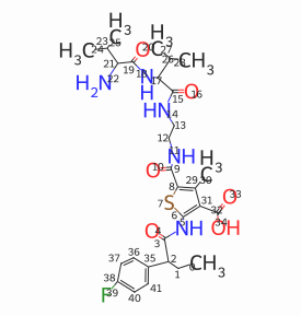 CCC(C(=O)Nc1sc(C(=O)NCCNC(=O)C(NC(=O)C(N)C(C)C)C(C)C)c(C)c1C(=O)O)c1ccc(F)cc1